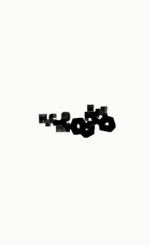 C=CC(=O)Nc1ccc2c(ccn2C(c2ccccc2F)C(F)(F)F)c1